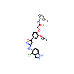 COc1cc(-c2cc(Nc3ccc4[nH]ncc4c3Cl)no2)ccc1OCC(=O)NC(C)C